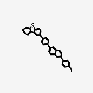 Ic1ccc(-c2ccc3cc(-c4ccc(-c5ccc6sc7ccccc7c6c5)cc4)ccc3c2)cc1